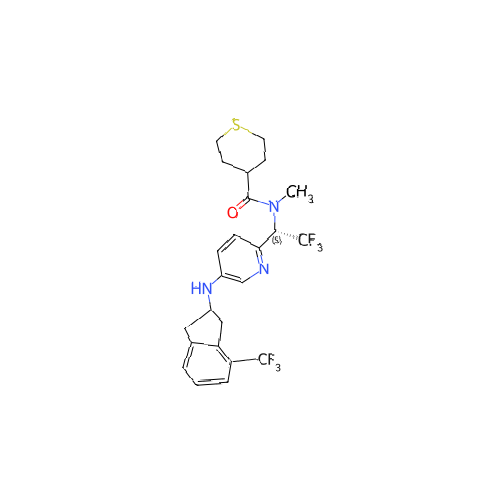 CN(C(=O)C1CCSCC1)[C@@H](c1ccc(NC2Cc3cccc(C(F)(F)F)c3C2)cn1)C(F)(F)F